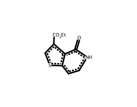 CCOC(=O)c1csc2cc[nH]c(=O)c12